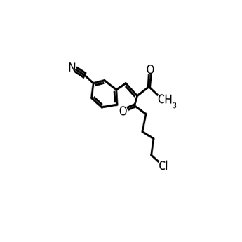 CC(=O)C(=Cc1cccc(C#N)c1)C(=O)CCCCCl